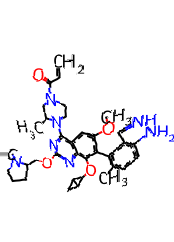 C=CC(=O)N1CCN(c2nc(OCC3CCCN3C)nc3c(OC4C5CC54)c(-c4c(C)ccc(N)c4C=N)c(OC)cc23)[C@@H](C)C1